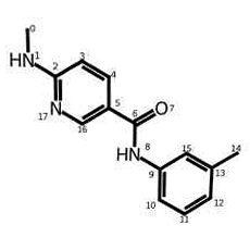 CNc1ccc(C(=O)Nc2cccc(C)c2)cn1